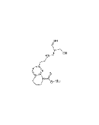 CC(C)(C)OC(=O)N1CCCc2ccc(CCN/C=C(\C=N)CO)nc21